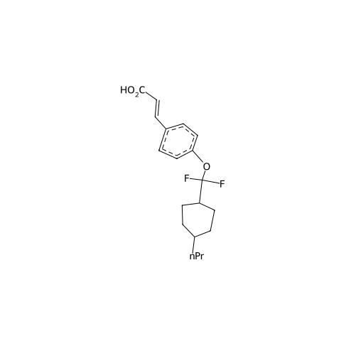 CCCC1CCC(C(F)(F)Oc2ccc(C=CC(=O)O)cc2)CC1